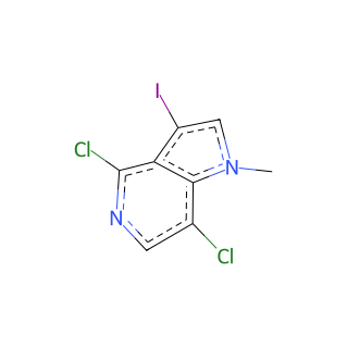 Cn1cc(I)c2c(Cl)ncc(Cl)c21